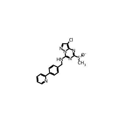 C[S+]([O-])c1nc(NCc2ccc(-c3ccccn3)cc2)n2ncc(Cl)c2n1